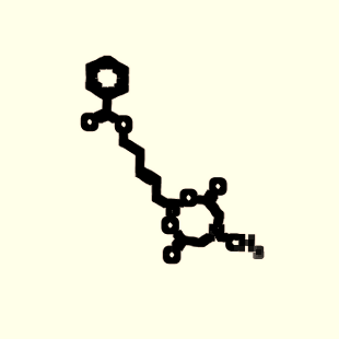 CN1CC(=O)OB(CC=CCCOC(=O)c2ccccc2)OC(=O)C1